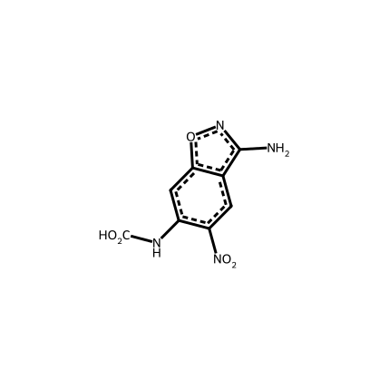 Nc1noc2cc(NC(=O)O)c([N+](=O)[O-])cc12